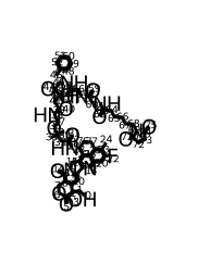 CC[C@@]1(O)C(=O)OCc2c1cc1n(c2=O)Cc2c-1nc1cc(F)c(C)c3c1c2[C@@H](NC(=O)CC(C)(C)OCNC(=O)CNC(=O)[C@H](Cc1ccccc1)NC(=O)CNC(=O)CNC(=O)CCCCCN1C(=O)C=CC1=O)CC3